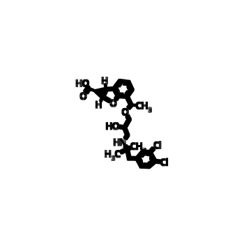 C[C@@H](OCC(O)CNC(C)(C)Cc1ccc(Cl)c(Cl)c1)c1cccc2c1O[C@@H]1[C@@H](C(=O)O)[C@H]21